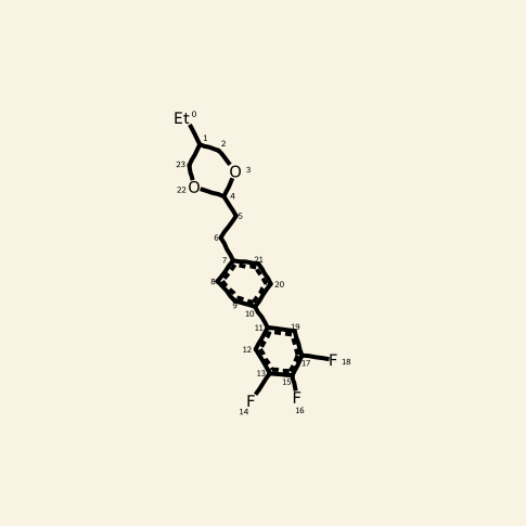 CCC1COC(CCc2ccc(-c3cc(F)c(F)c(F)c3)cc2)OC1